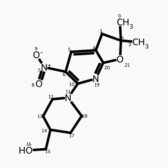 CC1(C)Cc2cc([N+](=O)[O-])c(N3CCC(CO)CC3)nc2O1